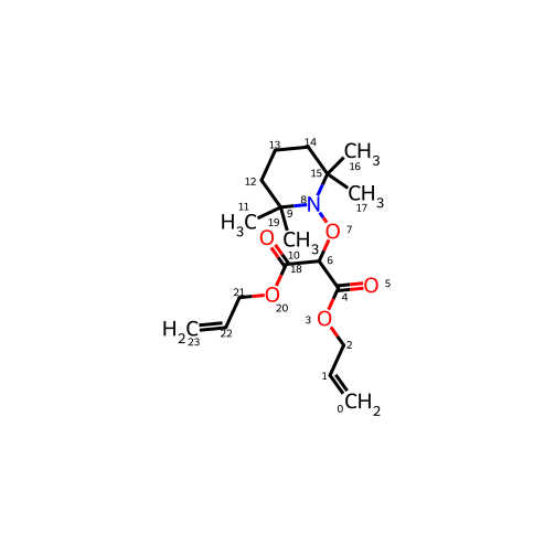 C=CCOC(=O)C(ON1C(C)(C)CCCC1(C)C)C(=O)OCC=C